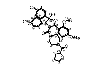 CC[C@@]1(c2ccc(Cl)cc2)N=C(c2ccc(OC)cc2OC(C)C)N(C(=O)N2CCN(C(=O)C3CCCO3)CC2)[C@@H]1c1ccc(Cl)cc1